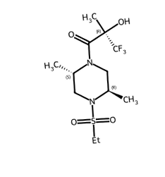 CCS(=O)(=O)N1C[C@H](C)N(C(=O)[C@@](C)(O)C(F)(F)F)C[C@H]1C